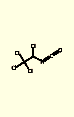 O=C=NC(Cl)C(Cl)(Cl)Cl